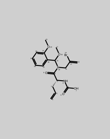 C=CC[C@@H](NC(=O)O)C(=O)N(CC(=C)Br)C(OC)c1ccccc1OC